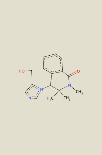 CN1C(=O)c2ccccc2C(n2cncc2CO)C1(C)C